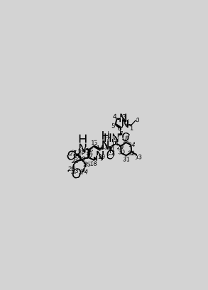 CCn1nccc1C(=O)NC(C(=O)Nc1cc2c(cn1)C1(CCOCC1)C(=O)N2)C1CCC(C)CC1